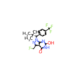 CC(C)(C)[C@H](c1ccc(C(F)(F)F)cc1)n1nc(CF)c2c(=O)[nH]c(O)nc21